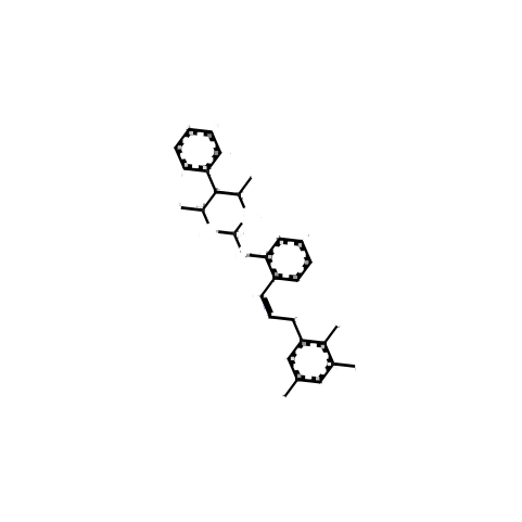 Cc1cc(C)c(C)c(C/C=C\c2ccccc2NC2OC(C)C(c3ccccc3)C(C)O2)c1